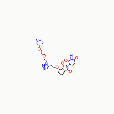 NCCOCCOCCn1nncc1CCOc1cccc2c1C(=O)N(C1CCC(=O)NC1=O)C2=O